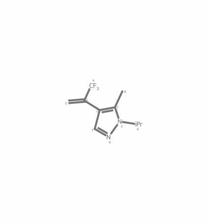 C=C(c1cnn(C(C)C)c1C)C(F)(F)F